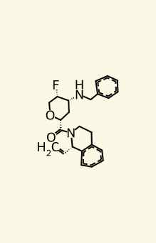 C=C[C@H]1c2ccccc2CCN1C(=O)[C@H]1C[C@@H](NCc2ccccc2)[C@@H](F)CO1